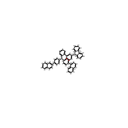 c1cc(-c2ccccc2N(c2ccc(-c3ccc4ccccc4c3)cc2)c2ccc(-c3cccc4ccccc34)cc2)cc(-n2c3ccccc3c3ccccc32)c1